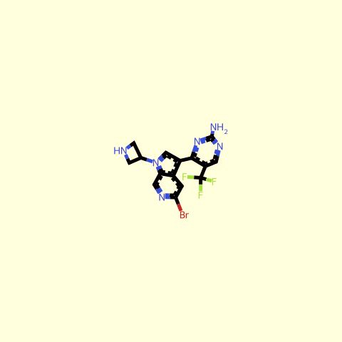 Nc1ncc(C(F)(F)F)c(-c2cn(C3CNC3)c3cnc(Br)cc23)n1